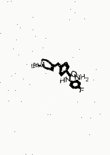 CC(C)(C)CN1CCC(Cc2ccc(C(=O)Nc3ccc(F)cc3N)cc2)CC1